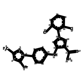 CCCc1nc(C(F)(F)F)nn1-c1ccc(Nc2cn(-c3c(Cl)cccc3Cl)nc2C(N)=O)cc1